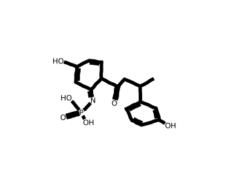 CC(CC(=O)C1C=CC(O)=C/C1=N\P(=O)(O)O)c1cccc(O)c1